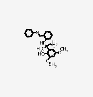 CCC(C)(Pc1ccccc1/C=N/c1ccccc1)c1cc(OC)cc(OC)c1O